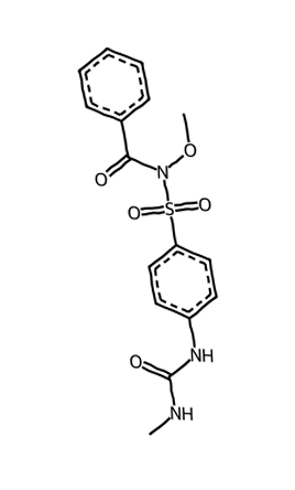 CNC(=O)Nc1ccc(S(=O)(=O)N(OC)C(=O)c2ccccc2)cc1